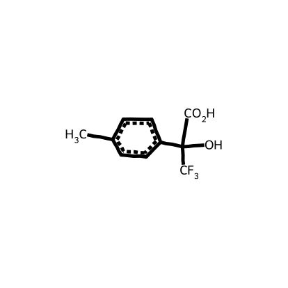 Cc1ccc(C(O)(C(=O)O)C(F)(F)F)cc1